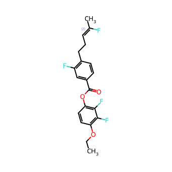 CCOc1ccc(OC(=O)c2ccc(CC/C=C(/C)F)c(F)c2)c(F)c1F